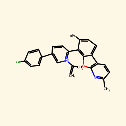 C=C(C)[n+]1cc(-c2ccc(F)cc2)ccc1-c1c(CCC)ccc2c1oc1nc(C)ccc12